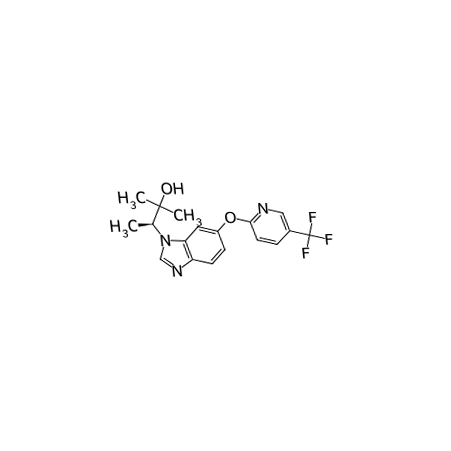 C[C@H](n1cnc2ccc(Oc3ccc(C(F)(F)F)cn3)cc21)C(C)(C)O